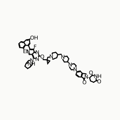 CCc1cccc2cc(O)cc(-c3ncc4c(N5CC6CCC(C5)N6)nc(OCC5(CN6CCC(CN7CCC(N8CCN(c9ccc%10c(c9)CN([C@H]9CCC(=O)NC9=O)C%10=O)CC8)CC7)CC6)CC5)nc4c3F)c12